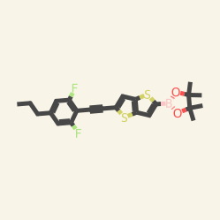 CCCc1cc(F)c(C#Cc2cc3sc(B4OC(C)(C)C(C)(C)O4)cc3s2)c(F)c1